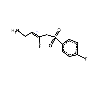 NC/C=C(\F)CS(=O)(=O)c1ccc(F)cc1